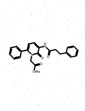 COC(=O)Cn1c(-c2ccccc2)ccc(NC(=O)CCc2ccccc2)c1=O